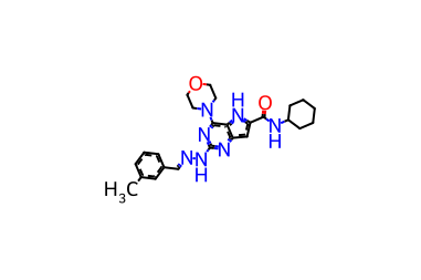 Cc1cccc(/C=N/Nc2nc(N3CCOCC3)c3[nH]c(C(=O)NC4CCCCC4)cc3n2)c1